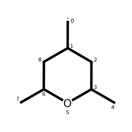 [CH2]C1CC(C)OC(C)C1